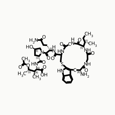 CC[C@H](C)[C@@H]1NC(=O)CNC(=O)[C@H](N)Cc2c([nH]c3ccccc23)SCC(C(=O)N[C@@H](CCC(N)=O)C(=O)N2C[C@H](O)C[C@H]2C(=O)N[C@H](C(=O)O)[C@@H](C)[C@H](C)OC(C)=O)NC(=O)CNC1=O